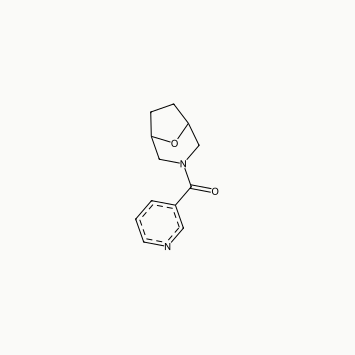 O=C(c1cccnc1)N1CC2CCC(C1)O2